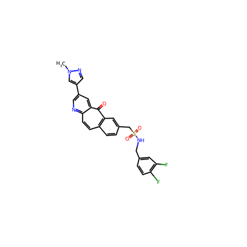 Cn1cc(-c2cnc3ccc4ccc(CS(=O)(=O)NCc5ccc(F)c(F)c5)cc4c(=O)c3c2)cn1